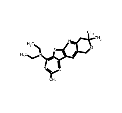 CCN(CC)c1nc(C)nc2c1sc1nc3c(cc12)COC(C)(C)C3